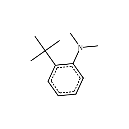 CN(C)c1[c]cccc1C(C)(C)C